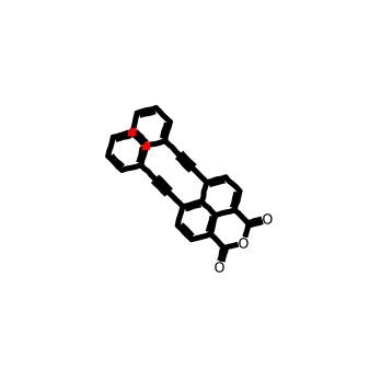 O=C1OC(=O)c2ccc(C#Cc3ccccc3)c3c(C#Cc4ccccc4)ccc1c23